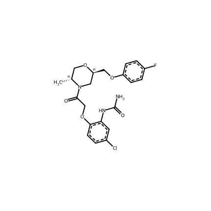 C[C@@H]1CO[C@@H](COc2ccc(F)cc2)CN1C(=O)COc1ccc(Cl)cc1NC(N)=O